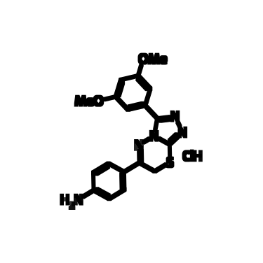 COc1cc(OC)cc(-c2nnc3n2N=C(c2ccc(N)cc2)CS3)c1.Cl